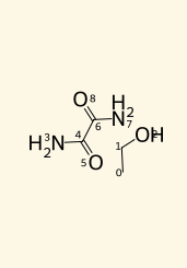 CCO.NC(=O)C(N)=O